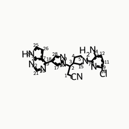 N#CCC(C1CCN(c2nc(Cl)ccc2N)C1)n1cc(-c2ncnc3[nH]ccc23)cn1